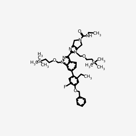 CCNC(=O)N1Cc2nc(-c3nn(COCC[Si](C)(C)C)c4cc(-c5cc(F)c(OCc6ccccc6)cc5CC)ccc34)n(COCC[Si](C)(C)C)c2C1